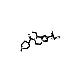 CCC1c2cc(C(=O)NO)cn2CCN1C(=O)C1CCN(C)CC1